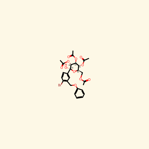 CC(=O)OC[C@H]1O[C@@](O)(c2ccc(Br)c(COc3ccccc3)c2)[C@H](OC(C)=O)[C@@H](OC(C)=O)[C@@H]1OC(C)=O